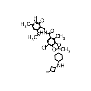 CSc1cc(C)[nH]c(=O)c1CNC(=O)c1cc(Cl)c2c(c1C)OC(C)([C@H]1CC[C@H](N[C@H]3C[C@H](F)C3)CC1)O2